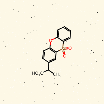 CC(C(=O)O)c1ccc2c(c1)S(=O)(=O)c1ccccc1O2